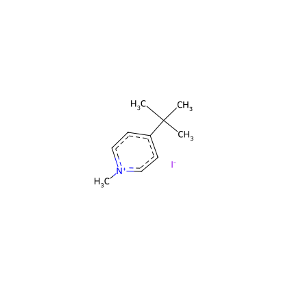 C[n+]1ccc(C(C)(C)C)cc1.[I-]